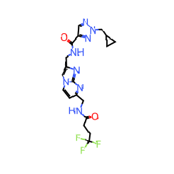 O=C(CCC(F)(F)F)NCc1ccn2cc(CNC(=O)c3cnn(CC4CC4)n3)nc2n1